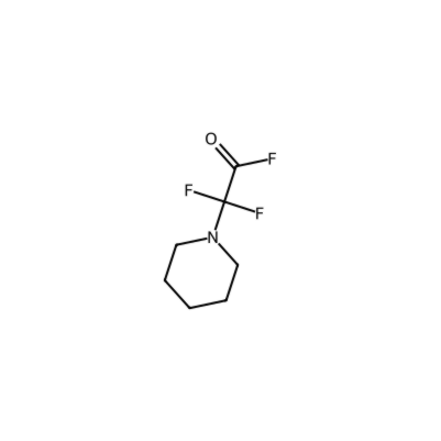 O=C(F)C(F)(F)N1CCCCC1